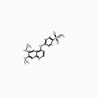 COc1cc2nccc(Oc3ccc(S(N)(=O)=O)cc3)c2cc1OC